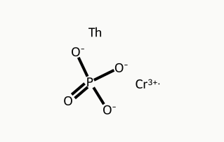 O=P([O-])([O-])[O-].[Cr+3].[Th]